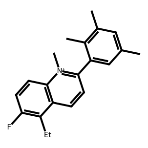 CCc1c(F)ccc2c1ccc(-c1cc(C)cc(C)c1C)[n+]2C